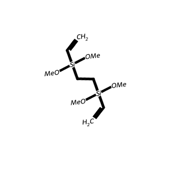 C=C[Si](CC[Si](C=C)(OC)OC)(OC)OC